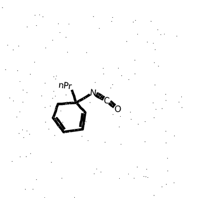 CCCC1(N=C=O)C=CC=CC1